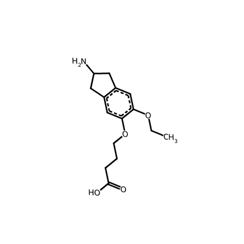 CCOc1cc2c(cc1OCCCC(=O)O)CC(N)C2